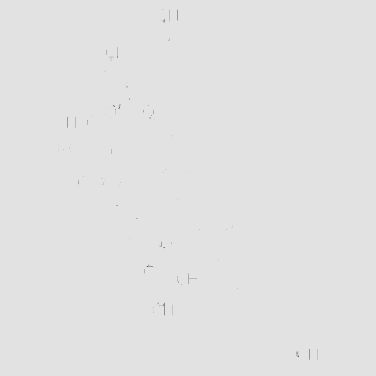 CC(C)OC(=O)CCCCC(=O)OC(C)C.CCCCCCCCCCCCCCCCOC(=O)C(CC)CCCC